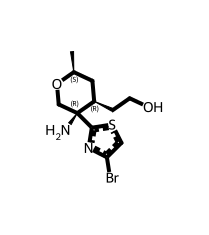 C[C@H]1C[C@@H](CCO)[C@](N)(c2nc(Br)cs2)CO1